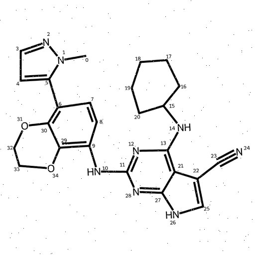 Cn1nccc1-c1ccc(Nc2nc(NC3CCCCC3)c3c(C#N)c[nH]c3n2)c2c1OCCO2